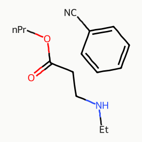 CCCOC(=O)CCNCC.N#Cc1ccccc1